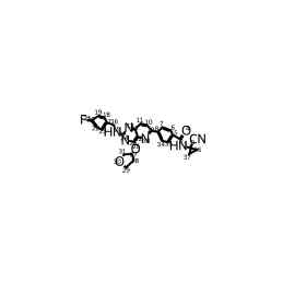 N#CC1(NC(=O)c2ccc(-c3ccc4nc(NCc5ccc(F)cc5)nc(OC5CCOC5)c4n3)cc2)CC1